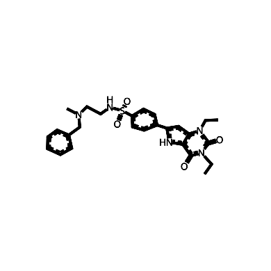 CCn1c(=O)c2[nH]c(-c3ccc(S(=O)(=O)NCCN(C)Cc4ccccc4)cc3)cc2n(CC)c1=O